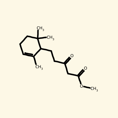 COC(=O)CC(=O)CCC1C(C)=CCCC1(C)C